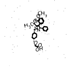 COc1cccc(-c2c(-c3ccccc3)nn(C[C@H]3CC[C@H](COCC(=O)O)CC3)c2C(C)C)c1F